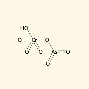 O=[As](=O)[O][Cr](=[O])(=[O])(=[O])[OH]